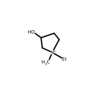 CC[N+]1(C)CCC(O)C1